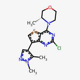 Cc1c(-c2csc3c(N4CCOC[C@H]4C)nc(Cl)nc23)cnn1C